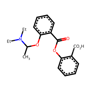 CCN(CC)C(C)Oc1ccccc1C(=O)Oc1ccccc1C(=O)O